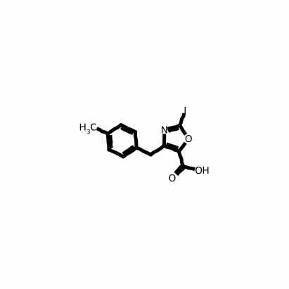 Cc1ccc(Cc2nc(I)oc2C(=O)O)cc1